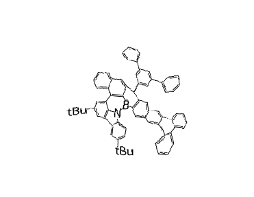 CC(C)(C)c1ccc2c(c1)c1cc(C(C)(C)C)cc3c1n2B1c2cc4cc5c6ccccc6c6ccccc6c5cc4cc2C(c2cc(-c4ccccc4)cc(-c4ccccc4)c2)c2cc4ccccc4c-3c21